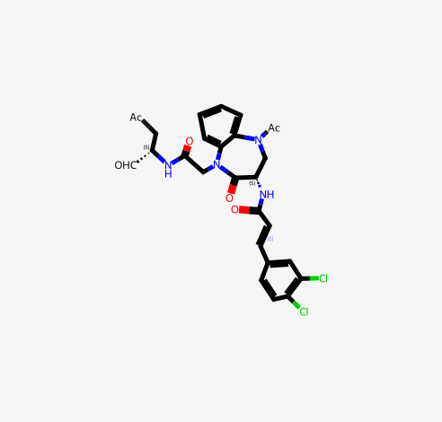 CC(=O)C[C@@H](C=O)NC(=O)CN1C(=O)[C@@H](NC(=O)/C=C/c2ccc(Cl)c(Cl)c2)CN(C(C)=O)c2ccccc21